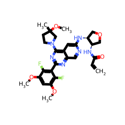 C=CC(=O)N[C@H]1COC[C@H]1Nc1cc2c(N3CCC(C)(OC)C3)nc(-c3c(F)c(OC)cc(OC)c3F)nc2cn1